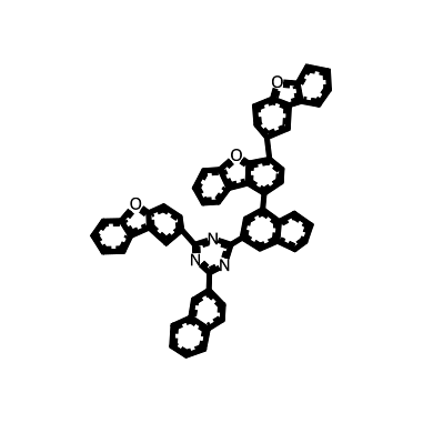 c1ccc2cc(-c3nc(-c4cc(-c5ccc(-c6ccc7oc8ccccc8c7c6)c6oc7ccccc7c56)c5ccccc5c4)nc(-c4ccc5oc6ccccc6c5c4)n3)ccc2c1